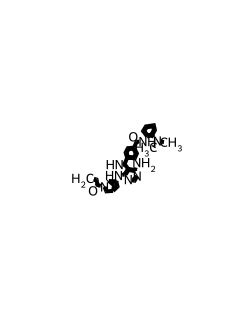 C=CC(=O)N1CC2CC(Nc3ncnc(N)c3C(=N)c3ccc(C(=O)Nc4ccccc4N(C)C)cc3)C1C2